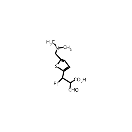 CCC(c1ccc(CN(C)C)s1)C(C=O)C(=O)O